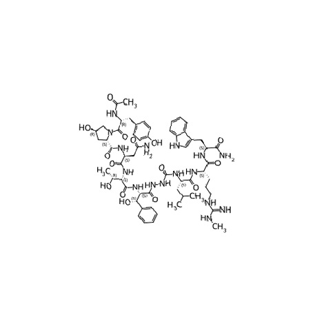 CNC(=N)NCCC[C@H](NC(=O)[C@H](CC(C)C)NC(=O)NNC(=O)[C@@H](NC(=O)[C@@H](NC(=O)[C@H](CC(N)=O)NC(=O)[C@@H]1C[C@@H](O)CN1C(=O)[C@@H](Cc1ccc(O)cc1)NC(C)=O)[C@@H](C)O)[C@@H](O)c1ccccc1)C(=O)N[C@@H](Cc1c[nH]c2ccccc12)C(N)=O